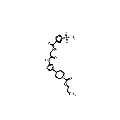 CCCOC(=O)N1CCC(c2csc(NC(=O)CNC(=O)c3ccn(S(C)(=O)=O)c3)n2)CC1